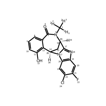 [2H]C([2H])([2H])N1C(=O)c2cccc(O)c2[C@H]2C[C@@H]1c1nc3cc(F)c(Cl)cc3n12